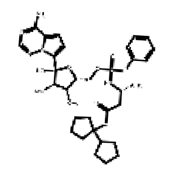 CC(=O)O[C@H]1[C@@H](OC(C)=O)[C@](C#N)(c2ccc3c(N)ncnn23)O[C@@H]1COP(=O)(N[C@H](C=O)CC(=O)OC1(C2CCCC2)CCCC1)Oc1ccccc1